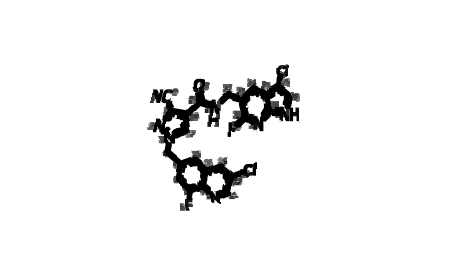 N#Cc1nn(Cc2cc(F)c3ncc(Cl)cc3c2)cc1C(=O)NCc1cc2c(Cl)c[nH]c2nc1F